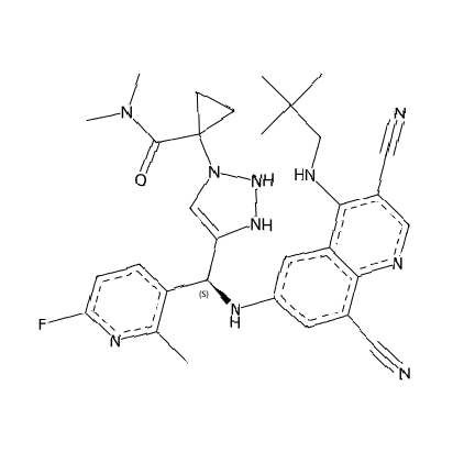 Cc1nc(F)ccc1[C@H](Nc1cc(C#N)c2ncc(C#N)c(NCC(C)(C)C)c2c1)C1=CN(C2(C(=O)N(C)C)CC2)NN1